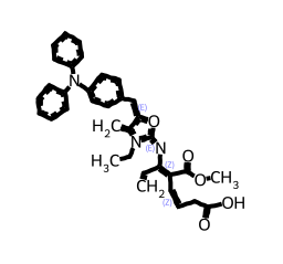 C=CC(/N=c1/o/c(=C/c2ccc(N(c3ccccc3)c3ccccc3)cc2)c(=C)n1CC)=C(\C=C/CC(=O)O)C(=O)OC